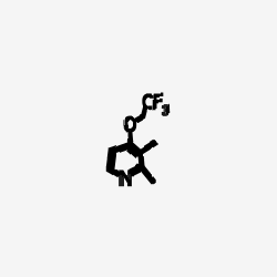 Cc1nccc(OCC(F)(F)F)c1C